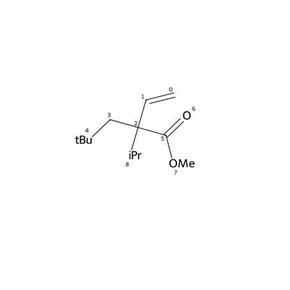 C=CC(CC(C)(C)C)(C(=O)OC)C(C)C